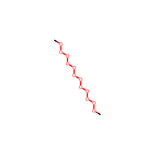 COOOOOOOOOOOOC